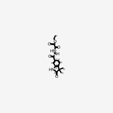 CCOC(=O)C(=O)NNC(=O)c1ccc2c(c1)NC(=O)C2(C)C